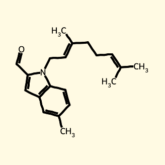 CC(C)=CCC/C(C)=C/Cn1c(C=O)cc2cc(C)ccc21